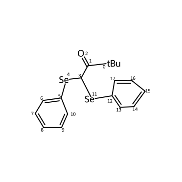 CC(C)(C)C(=O)C([Se]c1ccccc1)[Se]c1ccccc1